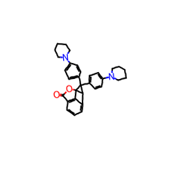 O=C1OC23c4c1cccc4C2C3(c1ccc(N2CCCCC2)cc1)c1ccc(N2CCCCC2)cc1